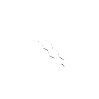 CC1=C2C[C@@]3(C)C(=C[C@@H](O)[C@H](O)[C@@H]3C)C=C2N(C)C1=O